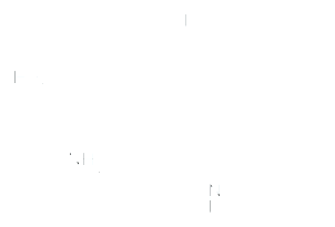 Cc1cccc2[nH]cc(CC(C)N)c12